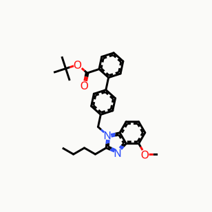 CCCCc1nc2c(OC)cccc2n1Cc1ccc(-c2ccccc2C(=O)OC(C)(C)C)cc1